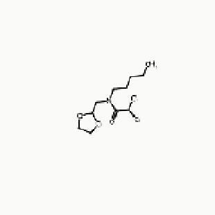 CCCCCN(CC1OCCO1)C(=O)C(Cl)Cl